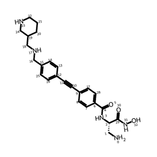 NC[C@H](NC(=O)c1ccc(C#Cc2ccc(CNCC3CCCNC3)cc2)cc1)C(=O)NO